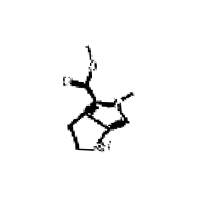 COC(=O)c1c2c(cn1C)NCC2